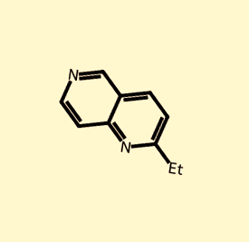 CCc1ccc2cnccc2n1